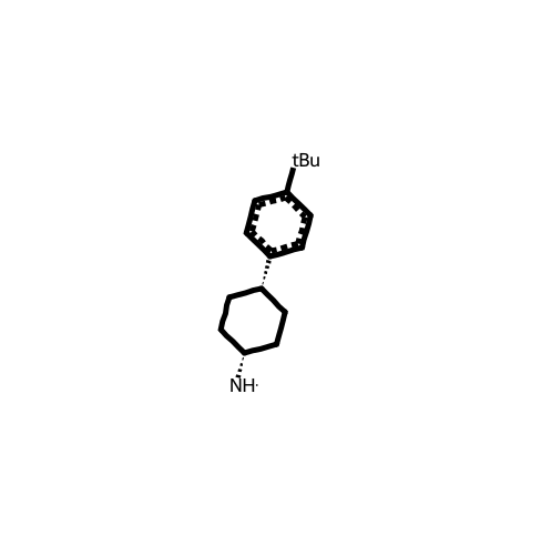 CC(C)(C)c1ccc([C@H]2CC[C@@H]([NH])CC2)cc1